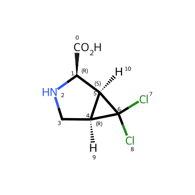 O=C(O)[C@@H]1NC[C@H]2[C@@H]1C2(Cl)Cl